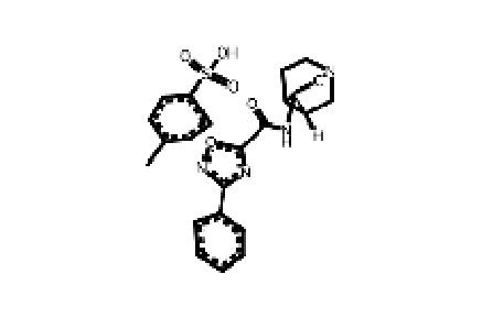 Cc1ccc(S(=O)(=O)O)cc1.O=C(N[C@H]1CN2CCC1CC2)c1nc(-c2ccccc2)no1